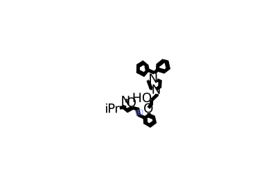 CC(C)c1cc(/C=C/c2ccccc2OCC(O)CN2CCN(C(c3ccccc3)c3ccccc3)CC2)on1